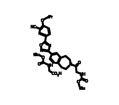 CC(C)(C)OC(=O)NCC(=O)O.CC(C)Oc1ccc(-c2nc(-c3ccc4c(c3)CCN(C(=O)CNC(=O)OC(C)(C)C)CC4)no2)cc1C#N